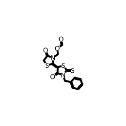 O=COCN1C(=O)CS/C1=C1/SC(=S)N(Cc2ccccc2)C1=O